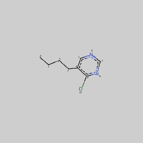 CCCCc1cncnc1Cl